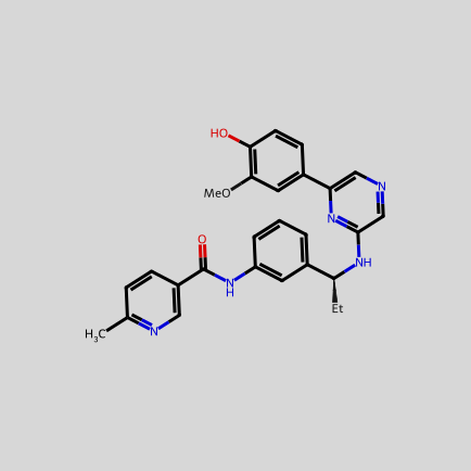 CC[C@H](Nc1cncc(-c2ccc(O)c(OC)c2)n1)c1cccc(NC(=O)c2ccc(C)nc2)c1